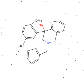 CCCCc1ccc(OC)c(C2(O)CN(Cc3ccccc3)Cc3ccccc32)c1